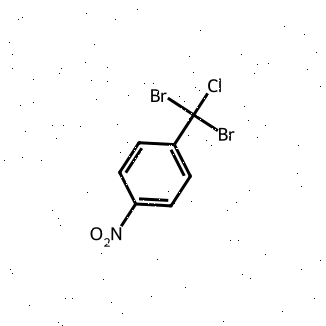 O=[N+]([O-])c1ccc(C(Cl)(Br)Br)cc1